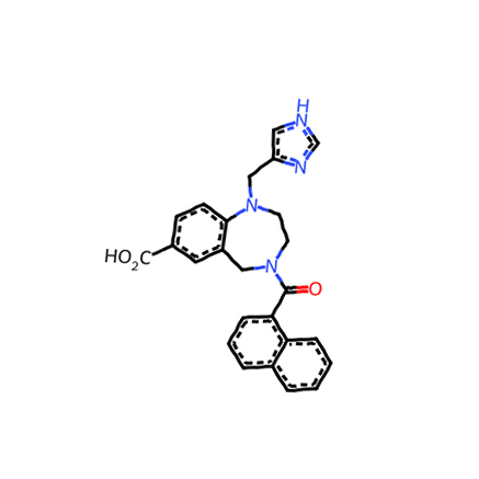 O=C(O)c1ccc2c(c1)CN(C(=O)c1cccc3ccccc13)CCN2Cc1c[nH]cn1